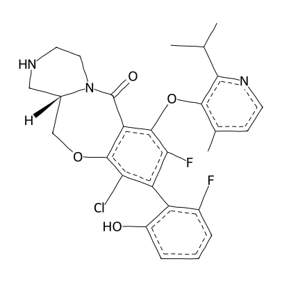 Cc1ccnc(C(C)C)c1Oc1c(F)c(-c2c(O)cccc2F)c(Cl)c2c1C(=O)N1CCNC[C@H]1CO2